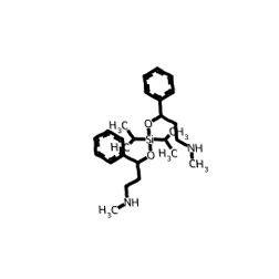 CNCCC(O[Si](OC(CCNC)c1ccccc1)(C(C)C)C(C)C)c1ccccc1